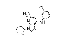 Nc1nc(Nc2cccc(Cl)c2)c2ncn(C3CCCCO3)c2n1